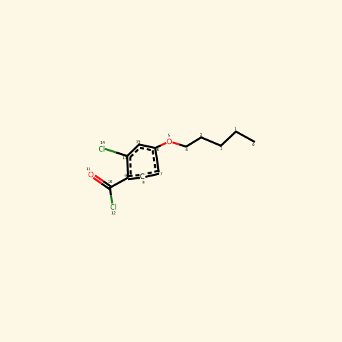 CCCCCOc1ccc(C(=O)Cl)c(Cl)c1